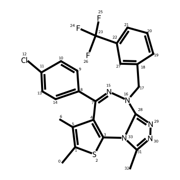 Cc1sc2c(c1C)C(c1ccc(Cl)cc1)=NN(Cc1cccc(C(F)(F)F)c1)c1nnc(C)n1-2